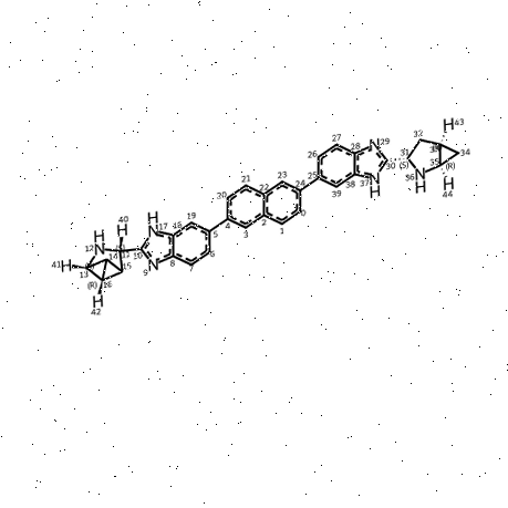 c1cc2cc(-c3ccc4nc([C@H]5N[C@@H]6C7C5[C@@H]76)[nH]c4c3)ccc2cc1-c1ccc2nc([C@@H]3C[C@H]4C[C@H]4N3)[nH]c2c1